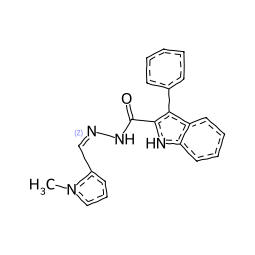 Cn1cccc1/C=N\NC(=O)c1[nH]c2ccccc2c1-c1ccccc1